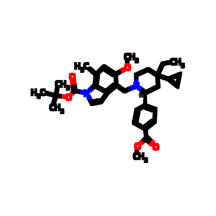 CCC1(C2CC2)CCN(Cc2c(OC)cc(C)c3c2ccn3C(=O)OC(C)(C)C)[C@H](c2ccc(C(=O)OC)cc2)C1